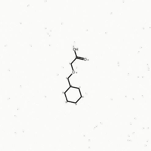 O=C(O)COCC1CCCCC1